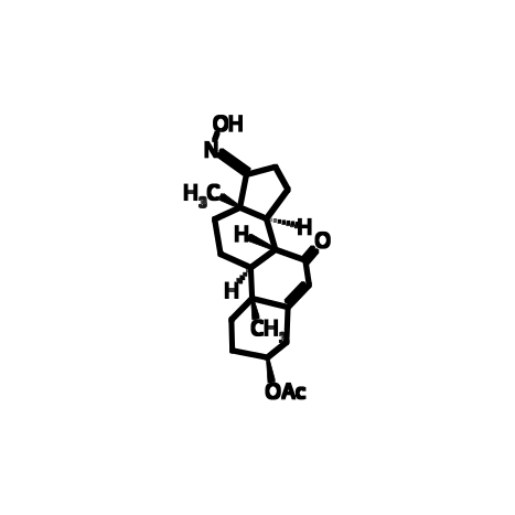 CC(=O)O[C@H]1CC[C@@]2(C)C(=CC(=O)[C@@H]3[C@@H]2CC[C@]2(C)C(=NO)CC[C@@H]32)C1